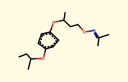 CCC(C)Oc1ccc(OC(C)CCON=C(C)C)cc1